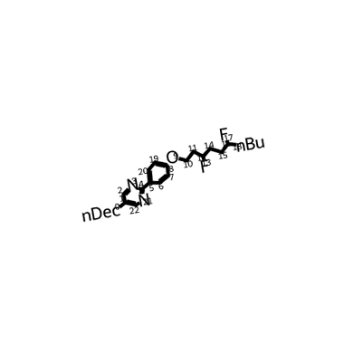 CCCCCCCCCCc1cnc(-c2ccc(OCCC(F)CCC(F)CCCC)cc2)nc1